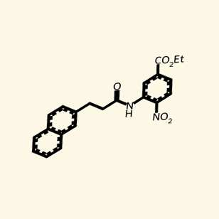 CCOC(=O)c1ccc([N+](=O)[O-])c(NC(=O)CCc2ccc3ccccc3c2)c1